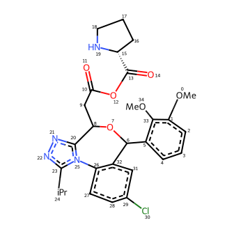 COc1cccc(C2OC(CC(=O)OC(=O)[C@H]3CCCN3)c3nnc(C(C)C)n3-c3ccc(Cl)cc32)c1OC